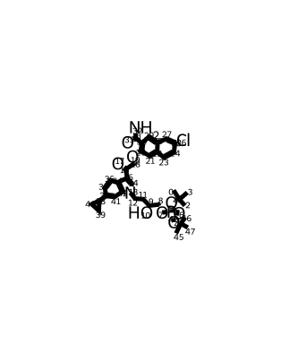 CC(C)(C)OP(=O)(OC[C@H](O)CCn1cc(C(=O)COc2cc3ccc(Cl)cc3cc2C(N)=O)c2ccc(C3CC3)cc21)OC(C)(C)C